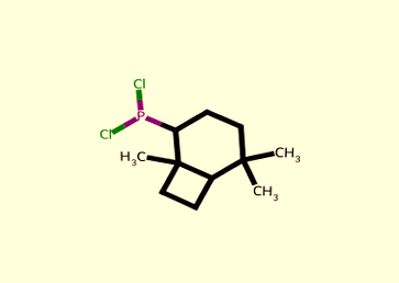 CC1(C)CCC(P(Cl)Cl)C2(C)CCC12